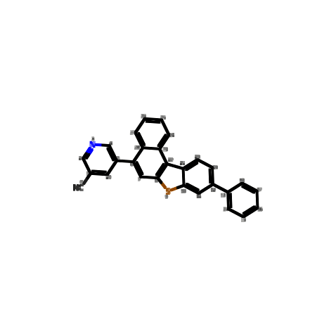 N#Cc1cncc(-c2cc3sc4cc(-c5ccccc5)ccc4c3c3ccccc23)c1